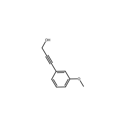 COc1cccc(C#CCO)c1